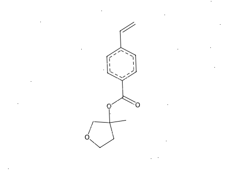 C=Cc1ccc(C(=O)OC2(C)CCOC2)cc1